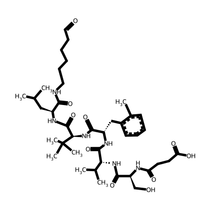 Cc1ccccc1C[C@H](NC(=O)[C@H](NC(=O)[C@H](CO)NC(=O)CCC(=O)O)C(C)C)C(=O)N[C@H](C(=O)N[C@@H](CC(C)C)C(=O)NCCCCCC=O)C(C)(C)C